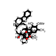 COc1c(C)cc2c(c1O)C1[C@@H]3[C@@H]4SC[C@]5(NCCc6c5oc5ccccc65)C(=O)OC[C@@H](c5c6c(c(C)c(OC(C)=O)c54)OCO6)N3[C@@H](O)[C@@H]3C[C@@]2(C)N13